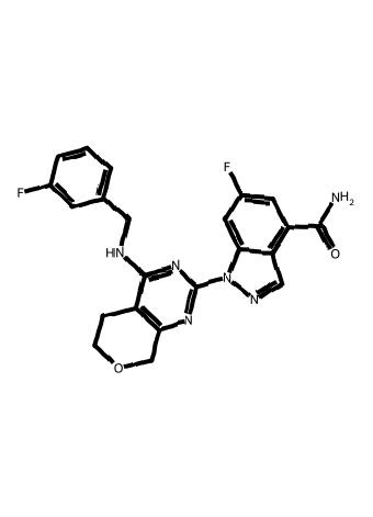 NC(=O)c1cc(F)cc2c1cnn2-c1nc2c(c(NCc3cccc(F)c3)n1)CCOC2